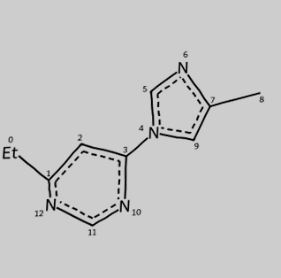 CCc1cc(-n2cnc(C)c2)ncn1